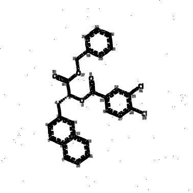 O=C(O[C@H](Cc1ccc2ccccc2c1)C(=O)OCc1ccccc1)c1ccc(Cl)c(Cl)c1